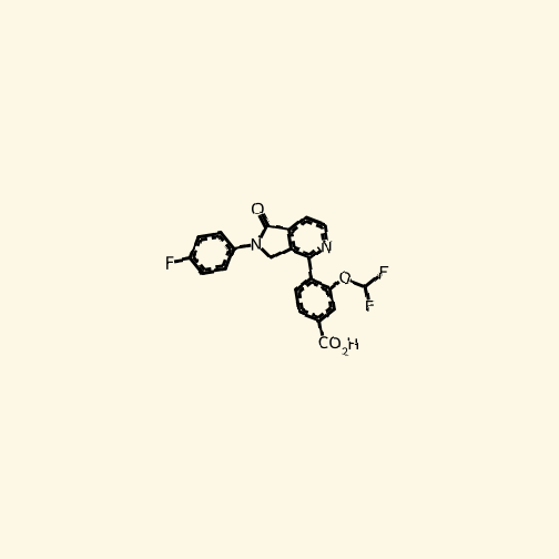 O=C(O)c1ccc(-c2nccc3c2CN(c2ccc(F)cc2)C3=O)c(OC(F)F)c1